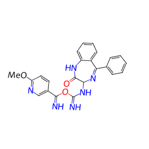 COc1ccc(C(=N)OC(=N)NC2N=C(c3ccccc3)c3ccccc3NC2=O)cn1